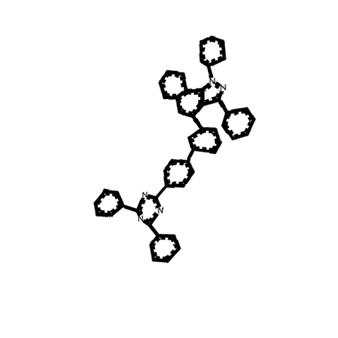 c1ccc(-c2nc(-c3ccccc3)nc(-c3ccc(-c4cccc(-c5cc6ccccc6c6c5c(-c5ccccc5)nn6-c5ccccc5)c4)cc3)n2)cc1